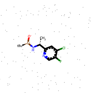 C[C@@H](N[S@+]([O-])C(C)(C)C)c1cc(Cl)c(F)cn1